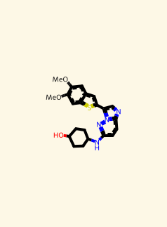 COc1cc2cc(-c3cnc4ccc(NC5CCC(O)CC5)nn34)sc2cc1OC